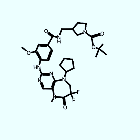 COc1cc(C(=O)NCC2CCN(C(=O)OC(C)(C)C)C2)ccc1Nc1ncc2c(n1)N(C1CCCC1)CC(F)(F)C(=O)N2C